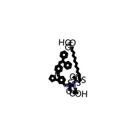 O=C(O)Cn1c(=O)/c(=C/c2ccc3c(c2)C2CCCC2N3c2ccc(C=C(c3ccccc3)c3ccccc3)cc2)s/c1=C1/SC(=S)N(CCCCCCCCCCCS(=O)(=O)O)C1=O